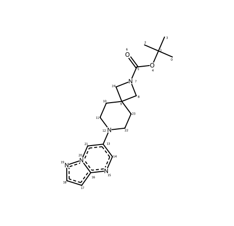 CC(C)(C)OC(=O)N1CC2(CCN(c3cnc4ccnn4c3)CC2)C1